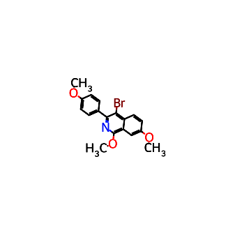 COc1ccc(-c2nc(OC)c3cc(OC)ccc3c2Br)cc1